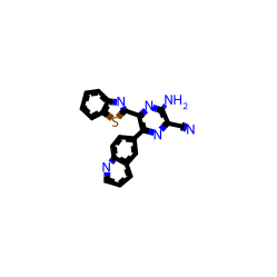 N#Cc1nc(-c2ccc3ncccc3c2)c(-c2nc3ccccc3s2)nc1N